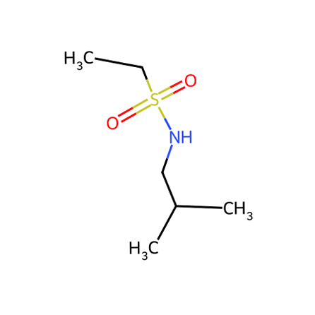 CCS(=O)(=O)NCC(C)C